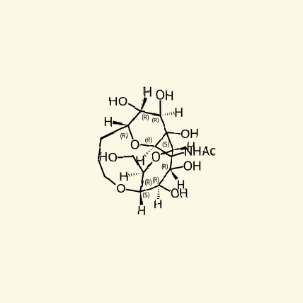 CC(=O)NC[C@H]1O[C@@H]2CCCO[C@H]3[C@H](O)[C@@H](O)[C@H](O[C@@H]3CO)C1(O)[C@H](O)[C@H]2O